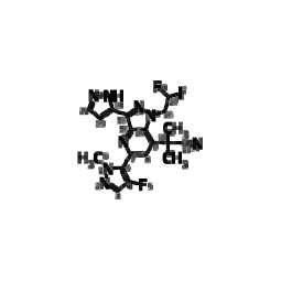 Cn1ncc(F)c1-c1cc(C(C)(C)C#N)c2c(n1)c(-c1ccn[nH]1)nn2CC(F)F